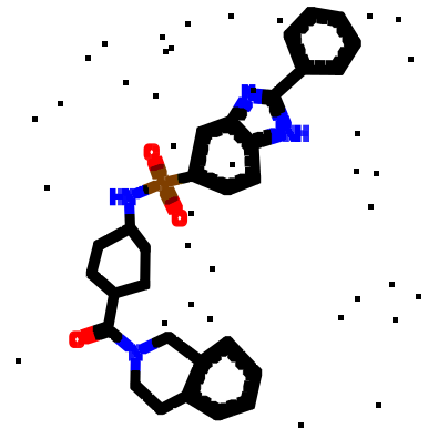 O=C(C1CCC(NS(=O)(=O)c2ccc3[nH]c(-c4ccccc4)nc3c2)CC1)N1CCc2ccccc2C1